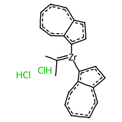 C[C](C)=[Zr]([c]1ccc2cccccc1-2)[c]1ccc2cccccc1-2.Cl.Cl